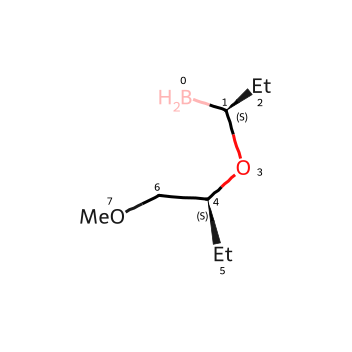 B[C@@H](CC)O[C@@H](CC)COC